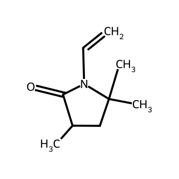 C=CN1C(=O)C(C)CC1(C)C